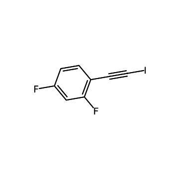 Fc1ccc(C#CI)c(F)c1